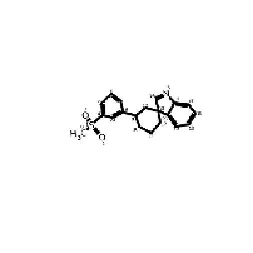 CS(=O)(=O)c1cccc(C2CCCC3(C=Nc4ccccc43)C2)c1